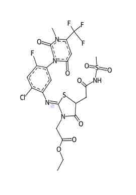 CCOC(=O)CN1C(=O)C(CC(=O)NS(C)(=O)=O)S/C1=N\c1cc(-n2c(=O)cc(C(F)(F)F)n(C)c2=O)c(F)cc1Cl